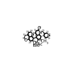 CC(=O)C(OC(C)(C)C)c1c(C)cc2c(ccc(=O)n2Cc2cccnc2)c1-c1ccc2c3c(ccnc13)CCO2